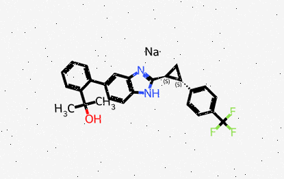 CC(C)(O)c1ccccc1-c1ccc2[nH]c([C@H]3C[C@@H]3c3ccc(C(F)(F)F)cc3)nc2c1.[Na]